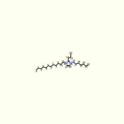 CCCCCCCCCCCCN1C=CN(CCCCCCC)C1CCC